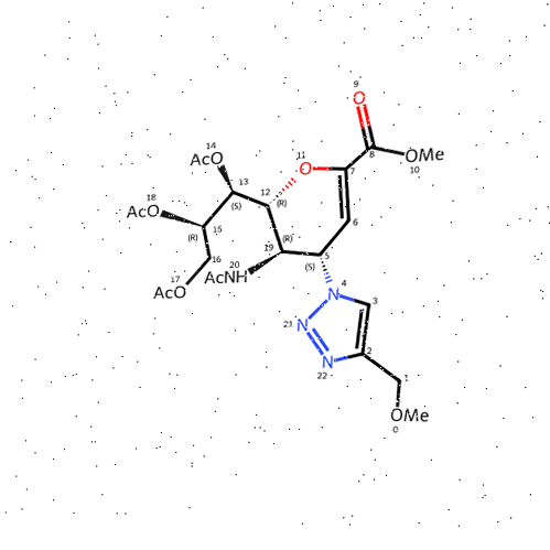 COCc1cn([C@H]2C=C(C(=O)OC)O[C@@H]([C@H](OC(C)=O)[C@@H](COC(C)=O)OC(C)=O)[C@@H]2NC(C)=O)nn1